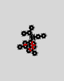 c1ccc(-c2ccc(-c3nc(-c4cc(-c5ccccc5)cc(-c5ccccc5)c4)nc(-c4cc(-c5ccccc5)c(N(c5ccc(-c6ccccc6)cc5-c5ccccc5)c5ccc(-c6ccccc6)cc5-c5ccccc5)c(-c5ccccc5)c4)n3)cc2)cc1